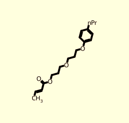 CC=CC(=O)OCCCOCCCOc1ccc(CCC)cc1